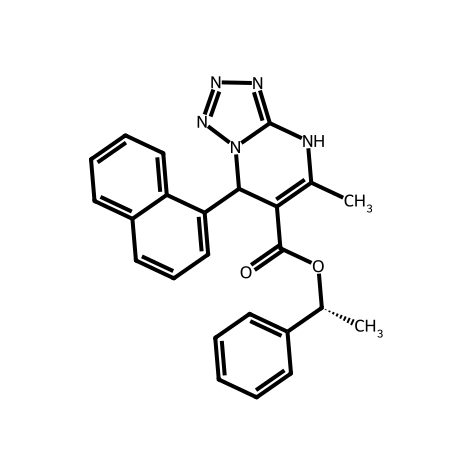 CC1=C(C(=O)O[C@H](C)c2ccccc2)C(c2cccc3ccccc23)n2nnnc2N1